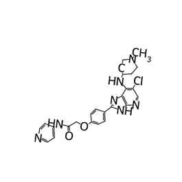 CN1CCC(Nc2c(Cl)cnc3[nH]c(-c4ccc(OCC(=O)Nc5ccncc5)cc4)nc23)CC1